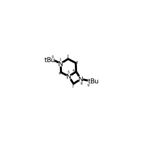 CC(C)(C)N1CCC2N(C1)CN2C(C)(C)C